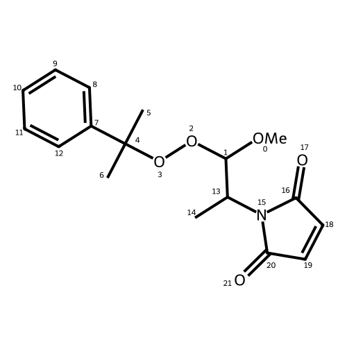 COC(OOC(C)(C)c1ccccc1)C(C)N1C(=O)C=CC1=O